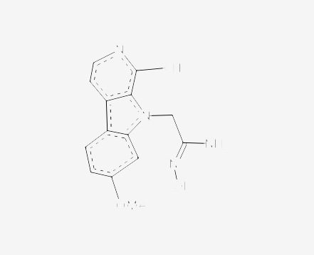 COc1ccc2c3ccnc(C)c3n(CC(N)=NO)c2c1